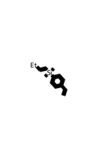 C=Cc1ccc([Si](C)(C)C=CCC)cc1